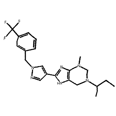 CCC(C)N1Cc2[nH]c(-c3cnn(Cc4cccc(C(F)(F)F)c4)c3)nc2N(C)C1